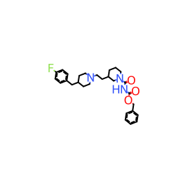 O=C(NC(=O)N1CCCC(CCN2CCC(Cc3ccc(F)cc3)CC2)C1)OCc1ccccc1